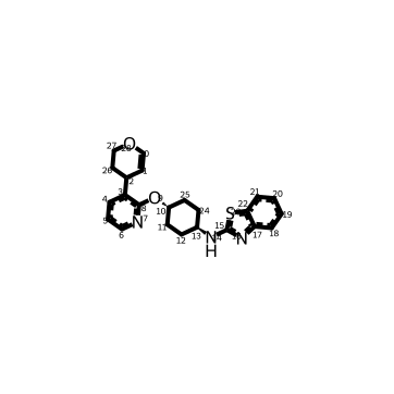 C1=CC(c2cccnc2O[C@H]2CC[C@H](Nc3nc4ccccc4s3)CC2)CCO1